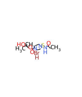 Br.CCC(=O)NSN1CCN(C(=O)OCC(C)(C)O)CC1